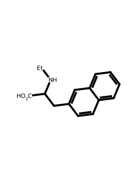 CCNC(Cc1ccc2ccccc2c1)C(=O)O